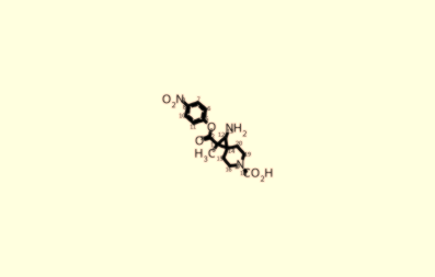 CC1(C(=O)Oc2ccc([N+](=O)[O-])cc2)C(N)C12CCN(C(=O)O)CC2